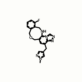 Cn1cc(Cc2cc3c(n4cnnc24)NCc2c(F)cccc2COC3)cn1